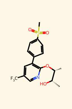 C[C@H](O)[C@@H](C)Oc1ncc(C(F)(F)F)cc1-c1ccc(S(C)(=O)=O)cc1